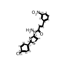 NN(C(=O)C=Cc1cccc([N+](=O)[O-])c1)c1csc(-c2ccc(Cl)cc2)n1